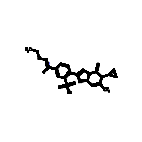 CCS(=O)(=O)c1cc(/C(C)=N/OCC(F)(F)F)ccc1-c1cn2c(=O)n(C3CC3)c(C(F)(F)F)cc2n1